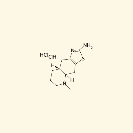 CN1CCC[C@@H]2Cc3nc(N)sc3C[C@H]21.Cl.Cl